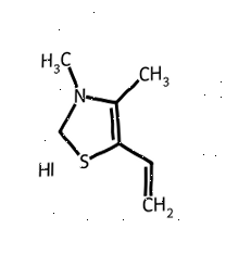 C=CC1=C(C)N(C)CS1.I